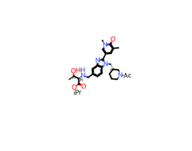 CC(=O)N1CCC[C@H](Cn2c(-c3cc(C)c(=O)n(C)c3)nc3cc(CN[C@@H](C(=O)OC(C)C)[C@@H](C)O)ccc32)C1